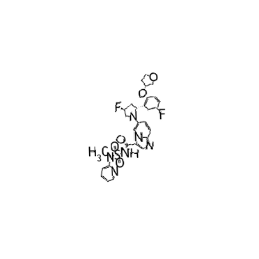 CN(c1ccccn1)S(=O)(=O)NC(=O)c1cnc2ccc(N3C[C@@H](F)C[C@@H]3c3cc(F)ccc3O[C@@H]3CCOC3)cn12